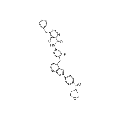 O=C(Nc1ccc(Cc2ccnc3cc(-c4ccc(C(=O)N5CCOCC5)cc4)sc23)c(F)c1)c1nccn(Cc2ccccc2)c1=O